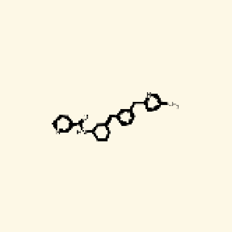 O=C(NC1CCCC(=Cc2cccc(Cc3ccc(C(F)(F)F)cn3)c2)C1)c1cccnc1